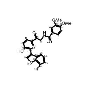 COc1ccc(C(=O)NCC(=O)c2ccc(O)c(-c3csc4c(F)cccc34)n2)cc1OC